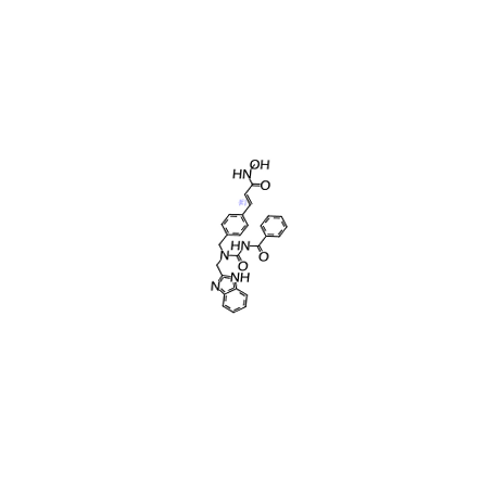 O=C(/C=C/c1ccc(CN(Cc2nc3ccccc3[nH]2)C(=O)NC(=O)c2ccccc2)cc1)NO